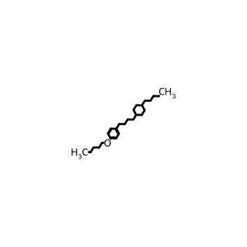 CCCCCOc1ccc(CCCCC2CCC(CCCCC)CC2)cc1